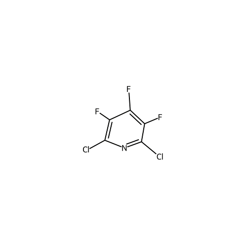 Fc1c(Cl)nc(Cl)c(F)c1F